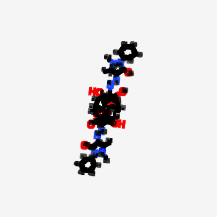 Cc1c(N=NC2=C(O)OC3(OC2=O)C2CC4CC5CC6CC(CC(C5)C65OC(=O)C(N=Nc6c(C)n(C)n(-c7ccccc7)c6=O)=C(O)O5)C(C2)CC3C4)c(=O)n(-c2ccccc2)n1C